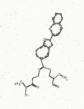 COC(C=O)CSC(SCCC(=O)N(C)C)c1ccc2oc(-c3ccc4ccccc4n3)cc2c1